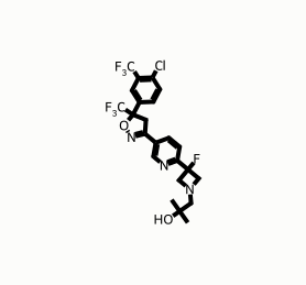 CC(C)(O)CN1CC(F)(c2ccc(C3=NOC(c4ccc(Cl)c(C(F)(F)F)c4)(C(F)(F)F)C3)cn2)C1